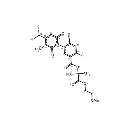 COCCOC(=O)C(C)(C)OC(=O)c1cc(-n2c(=O)cc(C(F)F)n(N)c2=O)c(F)cc1Cl